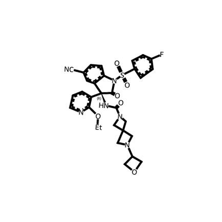 CCOc1ncccc1[C@@]1(NC(=O)N2CC3(C2)CN(C2COC2)C3)C(=O)N(S(=O)(=O)c2ccc(F)cc2)c2ccc(C#N)cc21